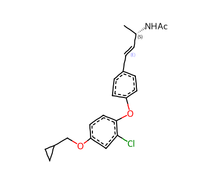 CC(=O)N[C@@H](C)/C=C/c1ccc(Oc2ccc(OCC3CC3)cc2Cl)cc1